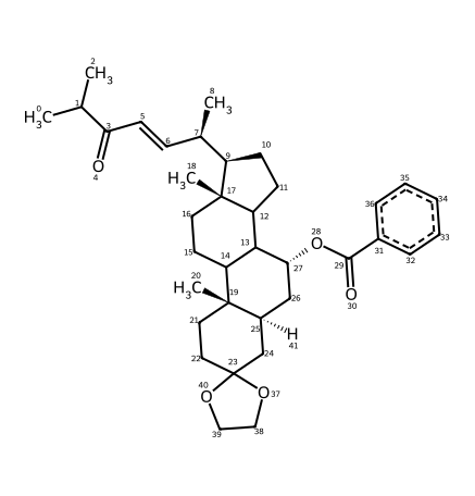 CC(C)C(=O)/C=C/[C@@H](C)[C@H]1CCC2C3C(CC[C@@]21C)[C@@]1(C)CCC2(C[C@@H]1C[C@H]3OC(=O)c1ccccc1)OCCO2